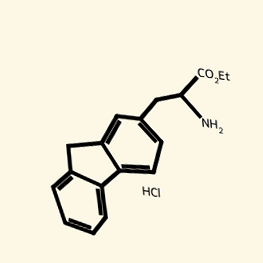 CCOC(=O)C(N)Cc1ccc2c(c1)Cc1ccccc1-2.Cl